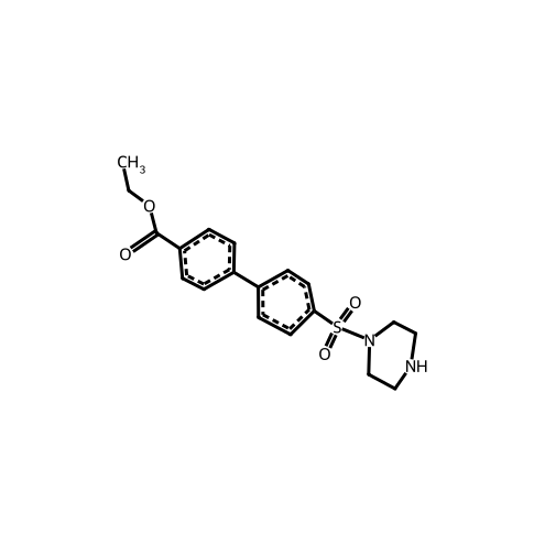 CCOC(=O)c1ccc(-c2ccc(S(=O)(=O)N3CCNCC3)cc2)cc1